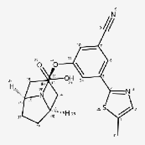 Cc1cnc(-c2cc(C#N)cc(O[C@H]3C[C@H]4CC[C@@H](C3)N4C(=O)O)c2)s1